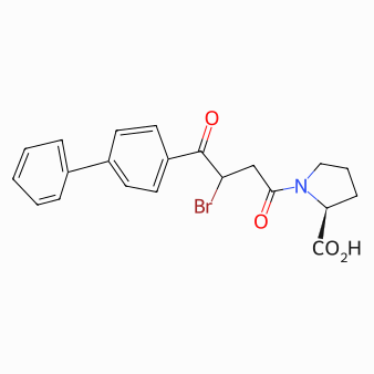 O=C(c1ccc(-c2ccccc2)cc1)C(Br)CC(=O)N1CCC[C@H]1C(=O)O